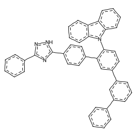 c1ccc(-c2cccc(-c3ccc(-n4c5ccccc5c5ccccc54)c(-c4ccc(-c5nc(-c6ccccc6)n[nH]5)cc4)c3)c2)cc1